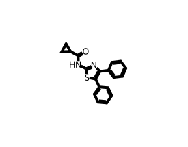 O=C(Nc1nc(-c2ccccc2)c(-c2ccccc2)s1)C1CC1